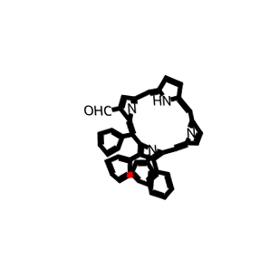 O=CC1=Cc2cc3ccc(cc4nc(cc5c(-c6ccccc6)c(-c6ccccc6)c(c(-c6ccccc6)c1n2)n5-c1ccccc1)C=C4)[nH]3